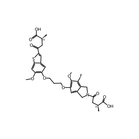 COc1cc2sc(C(=O)C[C@H](C)C(=O)O)cc2cc1OCCCOc1cc2c(c(F)c1OC)CN(C(=O)C[C@H](C)C(=O)O)C2